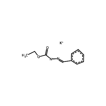 CCOC(=O)[N-]N=Cc1ccccc1.[K+]